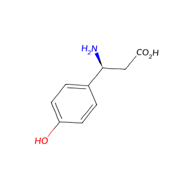 N[C@@H](CC(=O)O)c1ccc(O)cc1